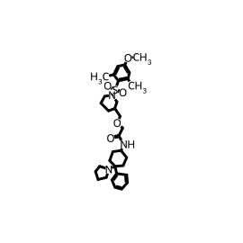 COc1cc(C)c(S(=O)(=O)N2CCCC(COCC(=O)NC3CCC(c4ccccc4)(N4CCCC4)CC3)C2)c(C)c1